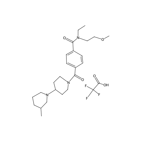 CCN(CCOC)C(=O)c1ccc(C(=O)N2CCC(N3CCCC(C)C3)CC2)cc1.O=C(O)C(F)(F)F